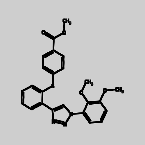 COC(=O)c1ccc(Sc2ccccc2-c2cn(-c3cccc(OC)c3OC)nn2)cc1